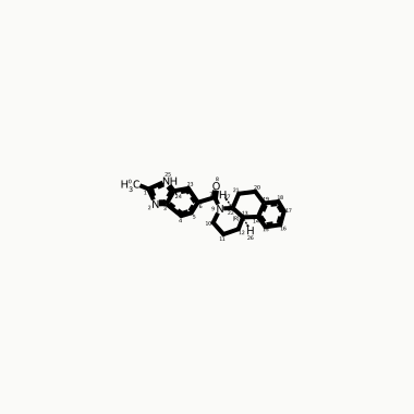 Cc1nc2ccc(C(=O)N3CCC[C@@H]4c5ccccc5CC[C@@H]43)cc2[nH]1